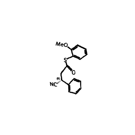 COc1ccccc1SC(=O)C[C@@H](C#N)c1ccccc1